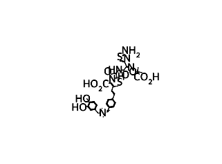 CC(C)(O/N=C(\C(=O)N[C@@H]1C(=O)N2C(C(=O)O)=C(/C=C/c3ccc(C[N+](C)(C)Cc4ccc(O)c(O)c4)cc3)CS[C@H]12)c1csc(N)n1)C(=O)O